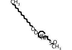 CCCCCCCCCCCCCCCOCOC1CCC[SiH](CCCSC(C)=O)NCC1